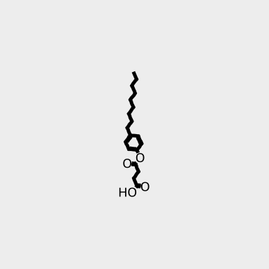 CCCCCCCCCc1ccc(OC(=O)CCC(=O)O)cc1